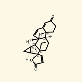 CC[C@]12CC[C@H]3[C@@H](C=CC4=CC(=O)CC[C@@H]43)[C@@H]1[C@@H]1C[C@@H]1[C@@]21C=CC(=O)O1